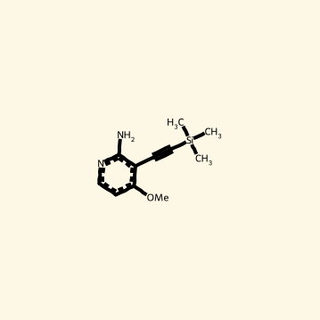 COc1ccnc(N)c1C#C[Si](C)(C)C